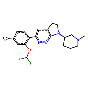 CN1CCC[C@@H](N2CCc3cc(-c4ccc(C(F)(F)F)cc4OC(F)F)nnc32)C1